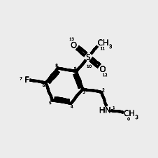 CNCc1ccc(F)cc1S(C)(=O)=O